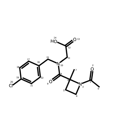 CC(=O)N1CCC1(C)C(=O)N(CC(=O)O)Cc1ccc(Cl)cc1